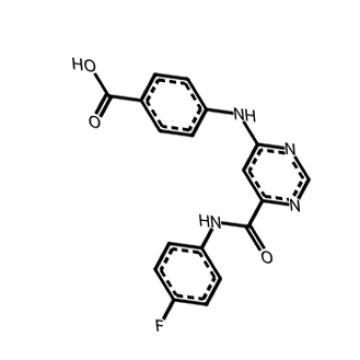 O=C(O)c1ccc(Nc2cc(C(=O)Nc3ccc(F)cc3)ncn2)cc1